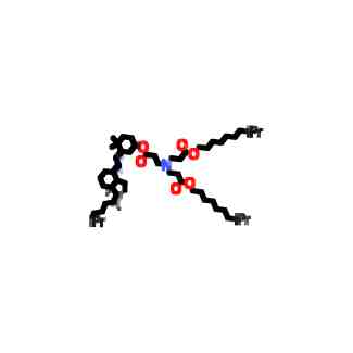 CC(C)CCCCCCCOC(=O)CCN(CCC(=O)OCCCCCCCC(C)C)CCC(=O)O[C@H]1CCC(C)(C)/C(=C/C=C2\CCC[C@@]3(C)C2CC[C@@H]3[C@H](C)CCCC(C)C)C1